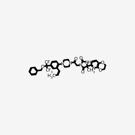 C/C=C\c1cc(C(OCc2ccccc2)(C(F)(F)F)C(F)(F)F)ccc1N1CCN(C(=O)CN2C(=O)NC(C)(c3ccc4c(n3)OCCO4)C2=O)CC1